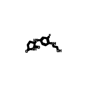 O=C1CCC(Nc2ccc(NCCO)c(F)c2)C(=O)N1